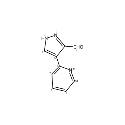 O=Cc1n[nH]cc1-c1ccccn1